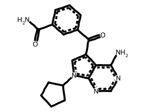 NC(=O)c1cccc(C(=O)c2cn(C3CCCC3)c3ncnc(N)c23)c1